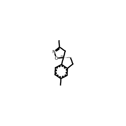 CC1=NO[C@@]2(CCc3cc(C)ccc32)C1